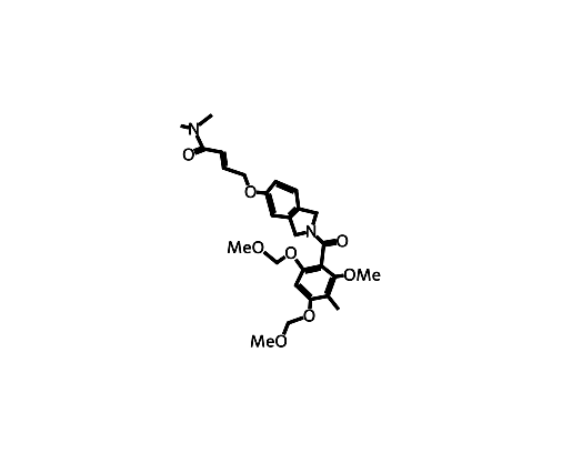 COCOc1cc(OCOC)c(C(=O)N2Cc3ccc(OC/C=C/C(=O)N(C)C)cc3C2)c(OC)c1C